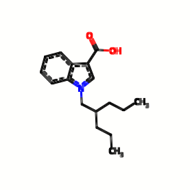 CCCC(CCC)Cn1cc(C(=O)O)c2ccccc21